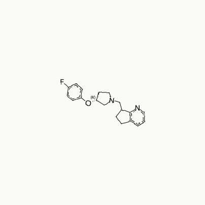 Fc1ccc(O[C@@H]2CCN(CC3CCc4cccnc43)C2)cc1